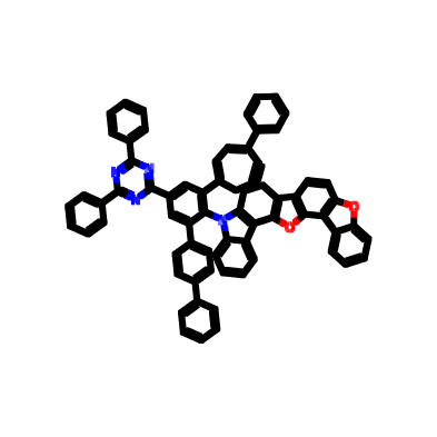 C1#CC(c2ccccc2)=CC=C(c2cc(-c3nc(-c4ccccc4)nc(-c4ccccc4)n3)cc(-c3ccc(-c4ccccc4)cc3)c2-n2c3c(c4ccccc42)-c2oc4c(ccc5oc6ccccc6c54)c2CC3)C1